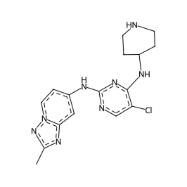 Cc1nc2cc(Nc3ncc(Cl)c(NC4CCNCC4)n3)ccn2n1